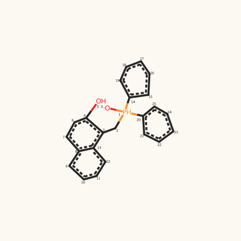 [O][PH](Cc1c(O)ccc2ccccc12)(c1ccccc1)c1ccccc1